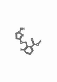 COC(=O)c1cccc(I)c1COc1ccn(O)n1